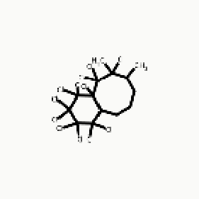 CC1CCCC2C(Cl)(Cl)C(Cl)(Cl)C(Cl)(Cl)C(Cl)(Cl)C2(Cl)C(Cl)(Cl)C1(C)Cl